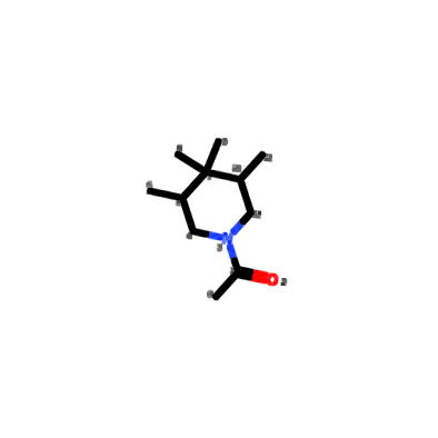 CC(=O)N1CC(C)C(C)(C)C(C)C1